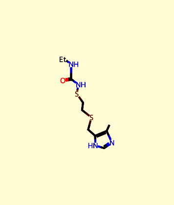 CCNC(=O)NSCCSCc1[nH]cnc1C